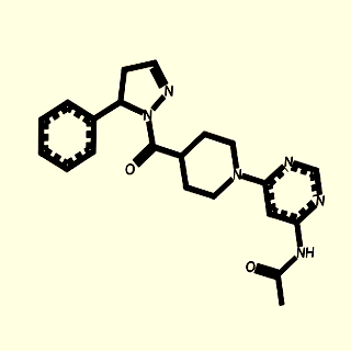 CC(=O)Nc1cc(N2CCC(C(=O)N3N=CCC3c3ccccc3)CC2)ncn1